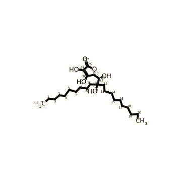 CCCCCCCCCCC(O)(CCCCCCCCCC)[C@H](O)[C@H]1OC(=O)C(O)=C1O